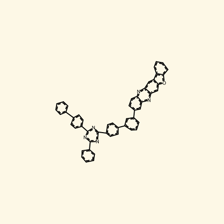 c1ccc(-c2ccc(-c3nc(-c4ccccc4)nc(-c4ccc(-c5cccc(-c6ccc7nc8cc9c(cc8nc7c6)oc6ccccc69)c5)cc4)n3)cc2)cc1